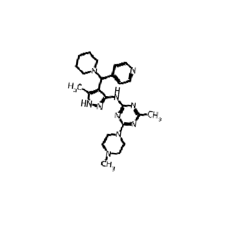 Cc1nc(Nc2n[nH]c(C)c2C(c2ccncc2)N2CCCCC2)nc(N2CCN(C)CC2)n1